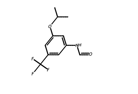 CC(C)Oc1cc(NC=O)cc(C(F)(F)F)c1